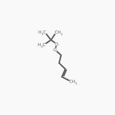 CC=CCCOOC(C)(C)C